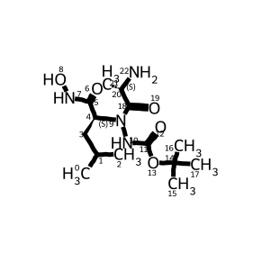 CC(C)C[C@@H](C(=O)NO)N(NC(=O)OC(C)(C)C)C(=O)[C@H](C)N